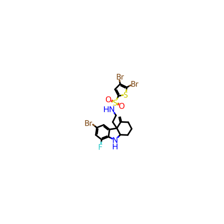 C=C1CCCC2Nc3c(F)cc(Br)cc3C12CCNS(=O)(=O)c1cc(Br)c(Br)s1